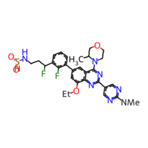 CCOc1cc(-c2cccc(C(F)CCN[SH](=O)=O)c2F)cc2c(N3CCOCC3C)nc(-c3cnc(NC)nc3)nc12